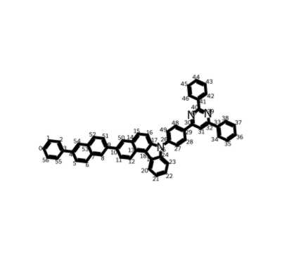 c1ccc(-c2ccc3cc(-c4ccc5c(ccc6c5c5ccccc5n6-c5ccc(-c6cc(-c7ccccc7)nc(-c7ccccc7)n6)cc5)c4)ccc3c2)cc1